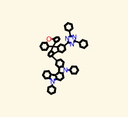 c1ccc(-c2nc(-c3ccccc3)nc(-c3ccc4c(c3)C3(c5ccccc5Oc5ccccc53)c3cccc(-c5ccc6c(c5)c5c7c8ccccc8n(-c8ccccc8)c7ccc5n6-c5ccccc5)c3-4)n2)cc1